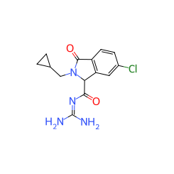 NC(N)=NC(=O)C1c2cc(Cl)ccc2C(=O)N1CC1CC1